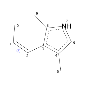 C/C=C\c1c(C)c[nH]c1C